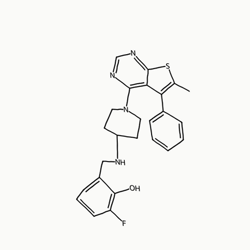 Cc1sc2ncnc(N3CCC(NCc4cccc(F)c4O)CC3)c2c1-c1ccccc1